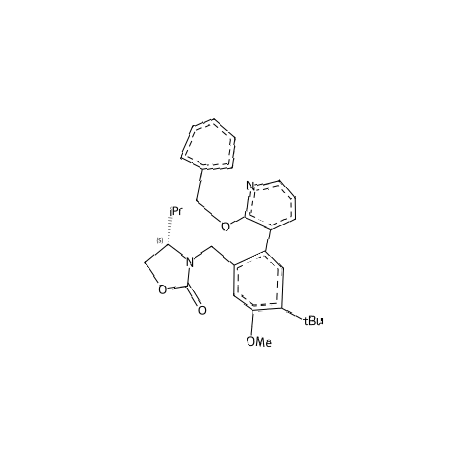 COc1cc(CN2C(=O)OC[C@@H]2C(C)C)c(-c2cccnc2OCc2ccccc2)cc1C(C)(C)C